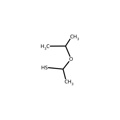 CC(C)OC(C)S